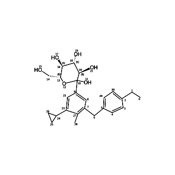 CCc1ccc(Cc2cc(C3(O)O[C@H](CO)[C@@H](O)[C@H](O)[C@H]3O)cc(C3CC3)c2C)cc1